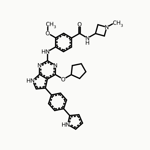 COc1cc(C(=O)NC2CN(C)C2)ccc1Nc1nc(OC2CCCC2)c2c(-c3ccc(-c4ccc[nH]4)cc3)c[nH]c2n1